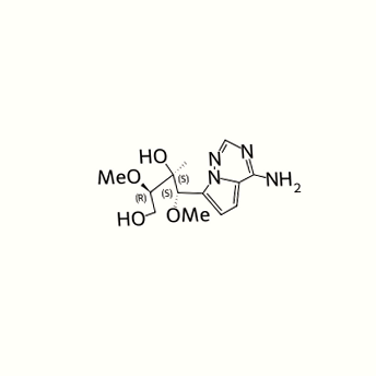 CO[C@H](CO)[C@@](C)(O)[C@@H](OC)c1ccc2c(N)ncnn12